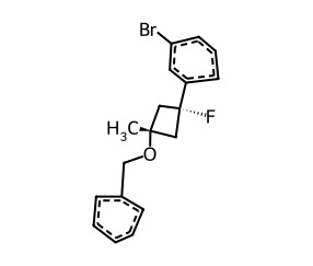 C[C@]1(OCc2ccccc2)C[C@](F)(c2cccc(Br)c2)C1